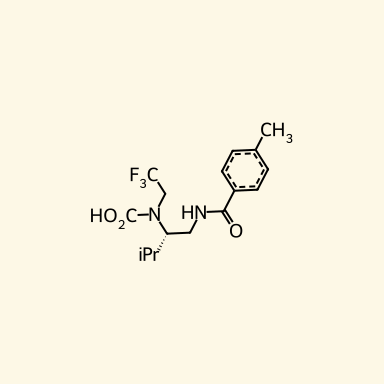 Cc1ccc(C(=O)NC[C@H](C(C)C)N(CC(F)(F)F)C(=O)O)cc1